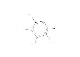 Oc1cc(Cl)c(O)c(Cl)c1O